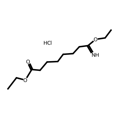 CCOC(=N)CCCCCCC(=O)OCC.Cl